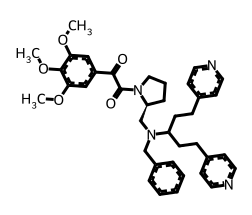 COc1cc(C(=O)C(=O)N2CCC[C@H]2CN(Cc2ccccc2)C(CCc2ccncc2)CCc2ccncc2)cc(OC)c1OC